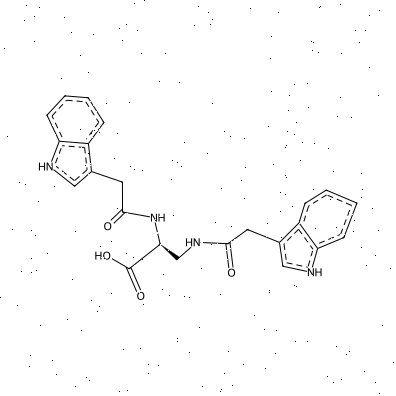 O=C(Cc1c[nH]c2ccccc12)NC[C@H](NC(=O)Cc1c[nH]c2ccccc12)C(=O)O